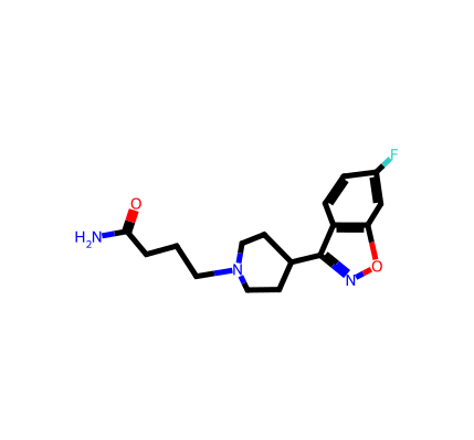 NC(=O)CCCN1CCC(c2noc3cc(F)ccc23)CC1